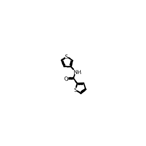 O=C(Nc1ccsc1)c1cccs1